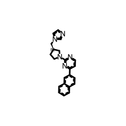 c1ccc2cc(-c3ccnc(N4CC[C@@H](Cn5ccnc5)C4)n3)ccc2c1